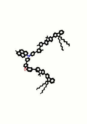 CCCCCCCCC1(CCCCCCCC)c2ccccc2-c2ccc(-c3ccc4c(c3)C(C)(C)c3cc(-c5ccc(C)c(-c6cc(-c7ccc(N(c8ccc(-c9ccc%10oc%11ccc(-c%12ccc%13c(c%12)C(C)(C)c%12cc(-c%14ccc%15c(c%14)C(CCCCCCCC)(CCCCCCCC)c%14ccccc%14-%15)ccc%12-%13)cc%11c%10c9)cc8)c8ccc9ccc%10c(C)ccc%11ccc8c9c%11%10)cc7)ccc6C)c5)ccc3-4)cc21